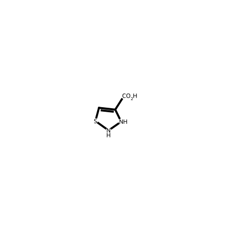 O=C(O)C1=CSNN1